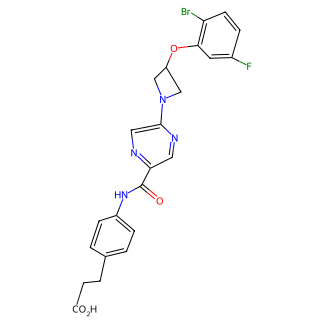 O=C(O)CCc1ccc(NC(=O)c2cnc(N3CC(Oc4cc(F)ccc4Br)C3)cn2)cc1